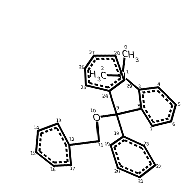 CN(C)c1ccccc1C(OCc1ccccc1)(c1ccccc1)c1ccccc1